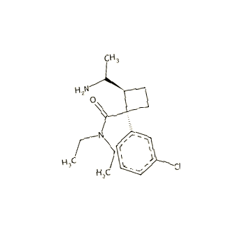 CCN(CC)C(=O)[C@]1(c2cccc(Cl)c2)CC[C@@H]1C(C)N